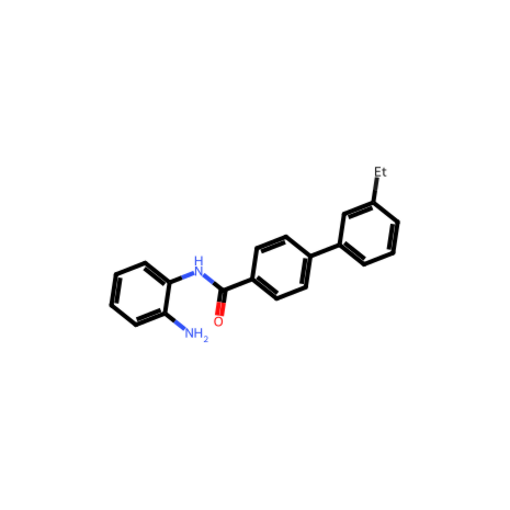 CCc1cccc(-c2ccc(C(=O)Nc3ccccc3N)cc2)c1